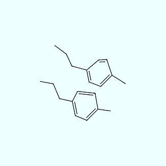 CCCc1ccc(C)cc1.CCCc1ccc(C)cc1